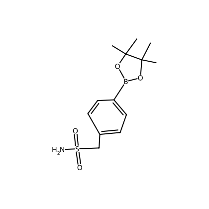 CC1(C)OB(c2ccc(CS(N)(=O)=O)cc2)OC1(C)C